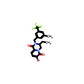 CCC1Cn2c(ccc(Br)c2=O)C(=O)N1Cc1cc(C)cc(C(F)(F)F)c1